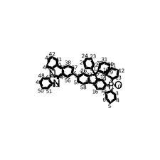 O=P(c1ccccc1)(c1ccccc1)c1ccc2c(c1)C(c1ccccc1)(c1ccccc1)c1cc(-c3ccc4c5ccccc5n5c6ccccc6nc5c4c3)ccc1-2